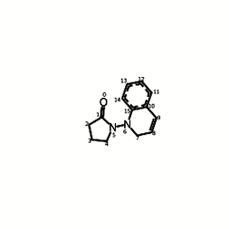 O=C1CCCN1N1CC=Cc2ccccc21